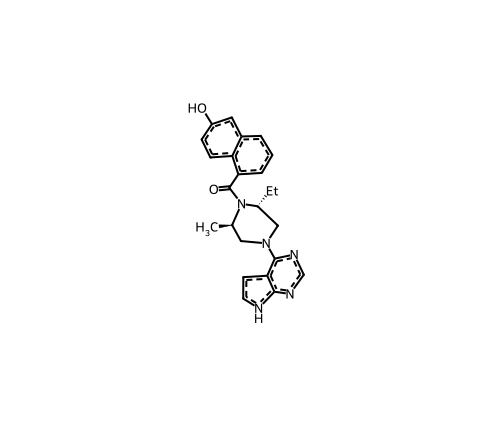 CC[C@@H]1CN(c2ncnc3[nH]ccc23)C[C@@H](C)N1C(=O)c1cccc2cc(O)ccc12